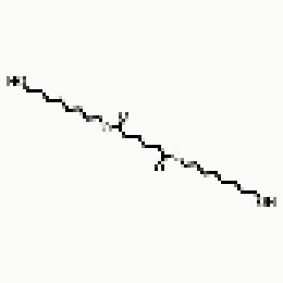 O=C(CCCCC(=O)OCCCCCCCCO)OCCCCCCCCO